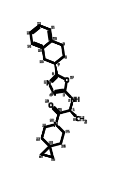 C[C@H](Nc1nnc([C@@H]2CCc3ccccc3C2)o1)C(=O)N1CCC2(CC1)CC2